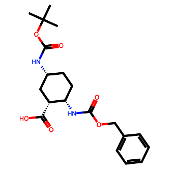 CC(C)(C)OC(=O)N[C@@H]1CC[C@H](NC(=O)OCc2ccccc2)[C@H](C(=O)O)C1